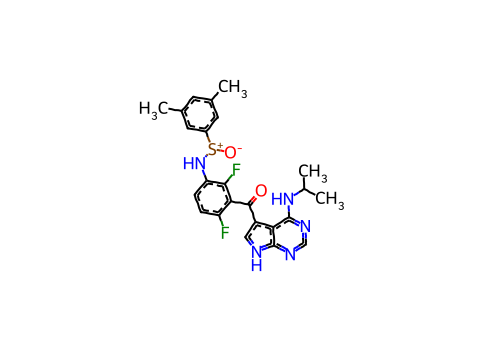 Cc1cc(C)cc([S+]([O-])Nc2ccc(F)c(C(=O)c3c[nH]c4ncnc(NC(C)C)c34)c2F)c1